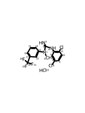 CN(C(=N)Nc1cc(Cl)ccc1Cl)c1cccc(C(F)(F)F)c1.Cl